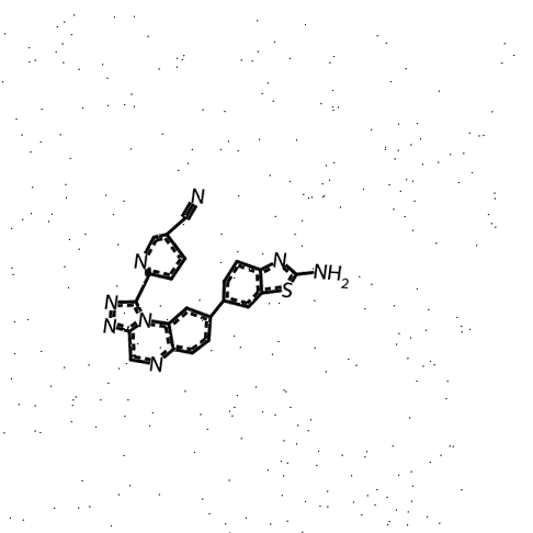 N#Cc1ccc(-c2nnc3cnc4ccc(-c5ccc6nc(N)sc6c5)cc4n23)nc1